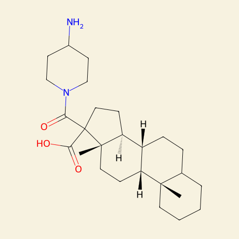 C[C@]12CCCCC1CC[C@@H]1[C@H]2CC[C@@]2(C)[C@H]1CCC2(C(=O)O)C(=O)N1CCC(N)CC1